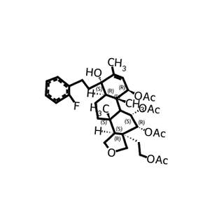 CC(=O)OCC[C@]12COC[C@H]1[C@]1(C)CC[C@@H]3[C@@](C)(C1[C@H](OC(C)=O)[C@@H]2OC(C)=O)[C@H](OC(C)=O)C=C(C)[C@]3(O)CCc1ccccc1F